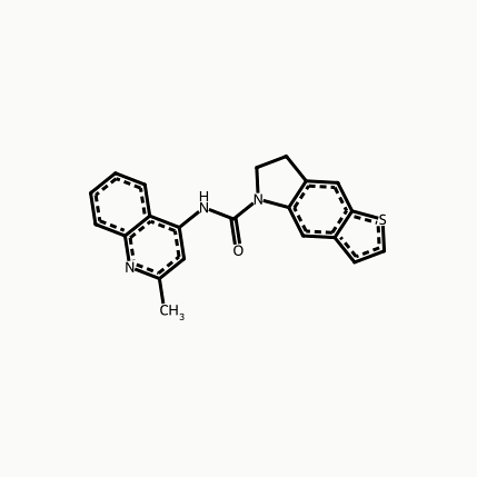 Cc1cc(NC(=O)N2CCc3cc4sccc4cc32)c2ccccc2n1